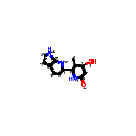 Cc1c(O)cc(=O)[nH]c1-c1ccc2cc[nH]c2n1